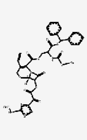 C=CC1=C(C(=O)OCC(NC(=O)OC(C)(C)C)C(=O)OC(c2ccccc2)c2ccccc2)N2C(=O)C(NC(=O)C(=O)c3csc(NC=O)n3)[C@@H]2SC1